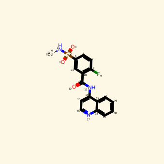 CC[C@@H](C)NS(=O)(=O)c1ccc(F)c(C(=O)Nc2ccnc3ccccc23)c1